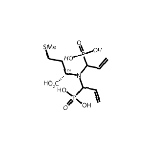 C=CC(N(C(C=C)P(=O)(O)O)[C@@H](CCSC)C(=O)O)P(=O)(O)O